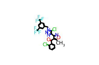 Cc1onc(-c2nnn(Cc3cc(C(F)(F)F)cc(C(F)(F)F)c3)c2Cl)c1C(=O)c1ccccc1Cl